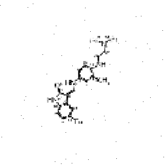 Cc1cc(NC=C2C(=O)Nc3ccc(F)cc32)ccc1NCCN(C(C)C)C(C)C